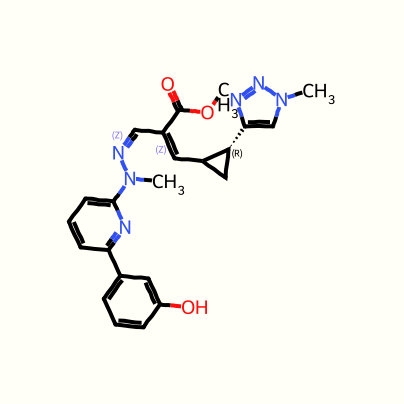 COC(=O)C(/C=N\N(C)c1cccc(-c2cccc(O)c2)n1)=C\C1C[C@H]1c1cn(C)nn1